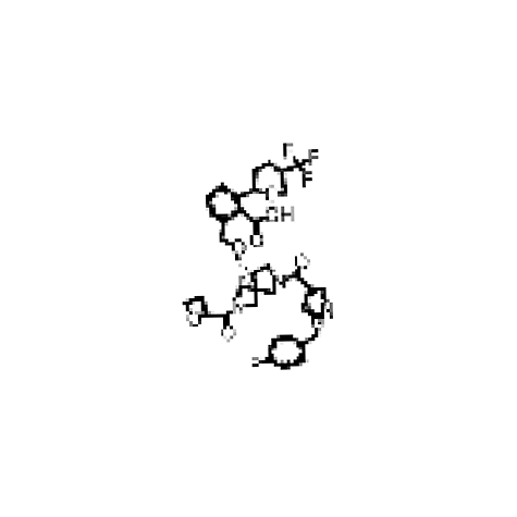 O=C(O)c1c(COC[C@@H]2CN(C(=O)c3cnn(Cc4ccc(F)cc4)c3)CC23CN(C(=O)C2CCO2)C3)cccc1C1CCC(C(F)(F)F)CC1